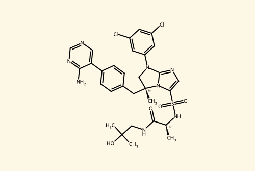 C[C@H](NS(=O)(=O)c1cnc2n1[C@](C)(Cc1ccc(-c3cncnc3N)cc1)CN2c1cc(Cl)cc(Cl)c1)C(=O)NCC(C)(C)O